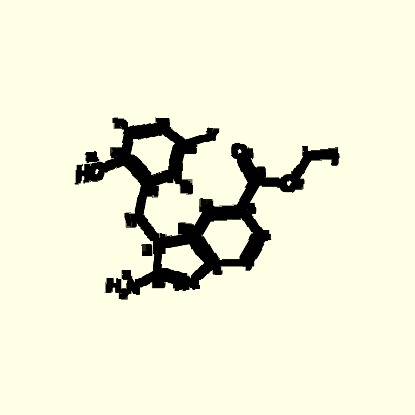 CCOC(=O)c1ccc2nc(N)n(Cc3nc(C)ccc3O)c2c1